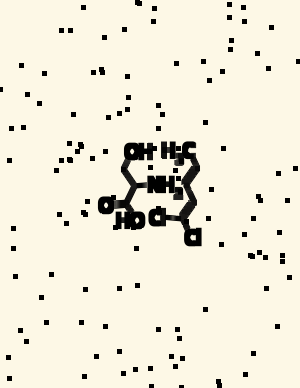 CC=CC=C(Cl)Cl.NC(CO)C(=O)O